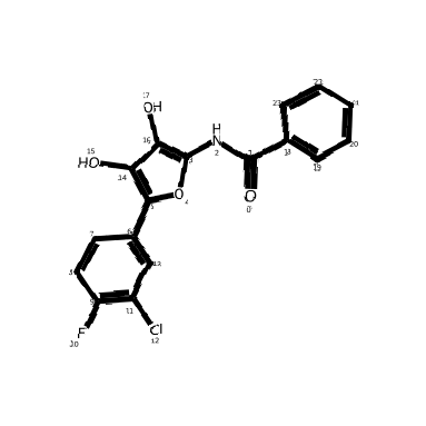 O=C(Nc1oc(-c2ccc(F)c(Cl)c2)c(O)c1O)c1ccccc1